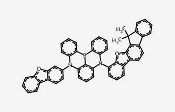 CC1(C)c2ccccc2-c2ccc3c(oc4c(N5c6ccccc6B6c7ccccc7N(c7ccc8c(c7)oc7ccccc78)c7cccc5c76)cccc43)c21